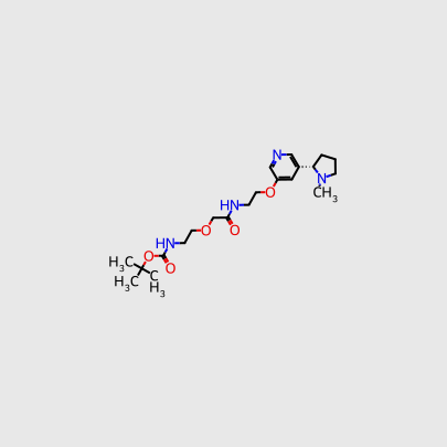 CN1CCC[C@H]1c1cncc(OCCNC(=O)COCCNC(=O)OC(C)(C)C)c1